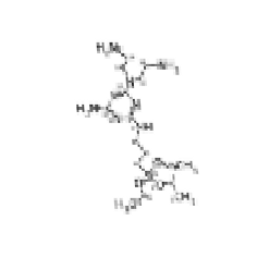 CCO[Si](CCCNc1nc(N)nc(N(CCN)CCN)n1)(OCC)OCC